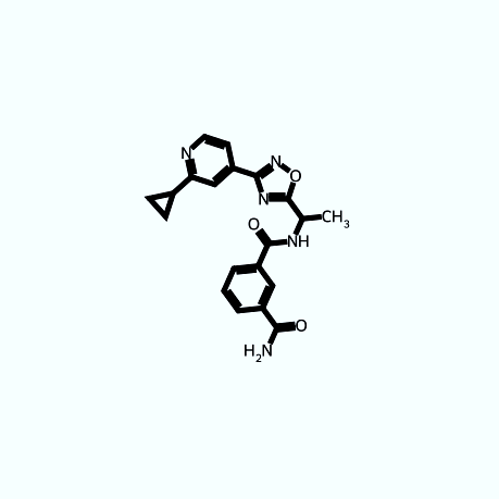 CC(NC(=O)c1cccc(C(N)=O)c1)c1nc(-c2ccnc(C3CC3)c2)no1